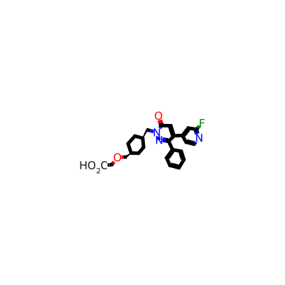 O=C(O)COC[C@H]1CC[C@@H](Cn2nc(-c3ccccc3)c(-c3ccnc(F)c3)cc2=O)CC1